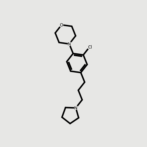 Clc1cc(CCCN2CCCC2)ccc1N1CCOCC1